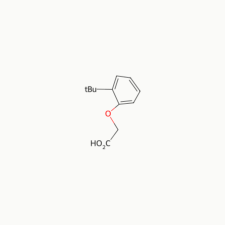 CC(C)(C)c1ccccc1OCC(=O)O